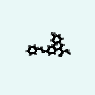 COC(=O)C(=O)c1ccc(OCc2ccccc2)cc1-c1cccc(F)c1